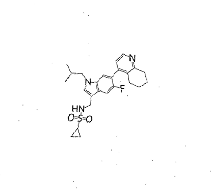 CC(C)Cn1cc(CNS(=O)(=O)C2CC2)c2cc(F)c(-c3ccnc4c3CCCC4)cc21